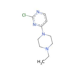 CCN1CCN(c2ccnc(Cl)n2)CC1